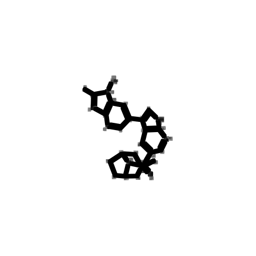 Cc1nc2ncc(-c3c[nH]c4ncc(C(=O)N5C6CCC5CN(C)C6)cc34)cc2n1C(C)C